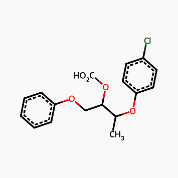 CC(Oc1ccc(Cl)cc1)C(COc1ccccc1)OC(=O)O